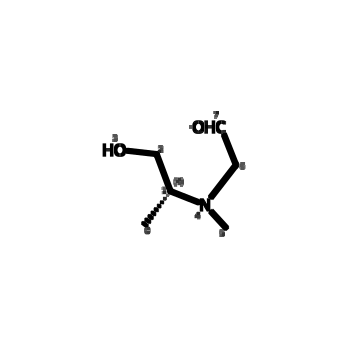 C[C@H](CO)N(C)C[C]=O